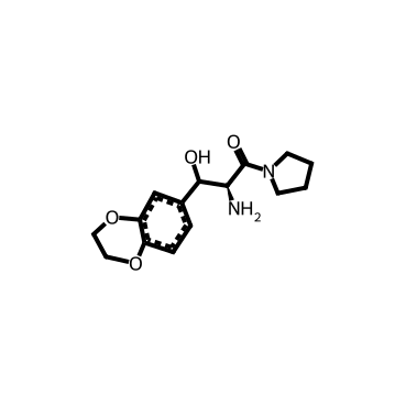 N[C@H](C(=O)N1CCCC1)C(O)c1ccc2c(c1)OCCO2